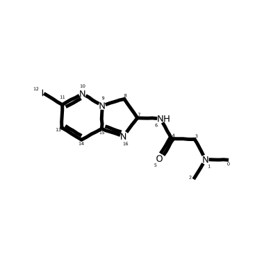 CN(C)CC(=O)NC1CN2N=C(I)C=CC2=N1